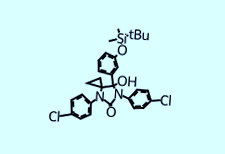 CC(C)(C)[Si](C)(C)Oc1cccc(C2(O)N(c3ccc(Cl)cc3)C(=O)N(c3ccc(Cl)cc3)C23CC3)c1